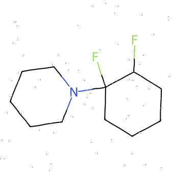 FC1CCCCC1(F)N1CCCCC1